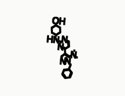 CN(C)c1c(-c2ccnc(NC3CCC(O)CC3)n2)cnn1Cc1ccccc1